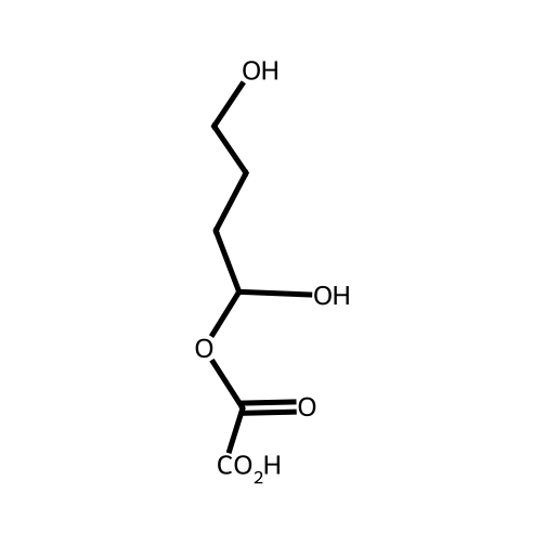 O=C(O)C(=O)OC(O)CCCO